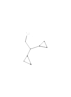 NCC(C1CC1)C1CC1